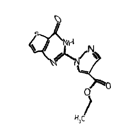 CCOC(=O)c1cnn(-c2nc3ccsc3c(=O)[nH]2)c1